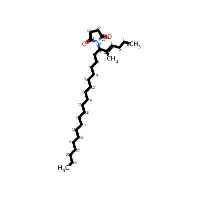 CCCC=C(C)C(CCCCCCCCCCCCCCCCCCC)N1C(=O)CCC1=O